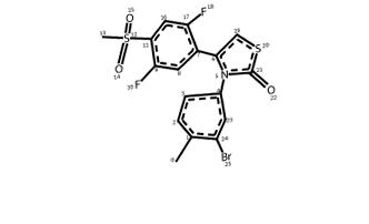 Cc1ccc(-n2c(-c3cc(F)c(S(C)(=O)=O)cc3F)csc2=O)cc1Br